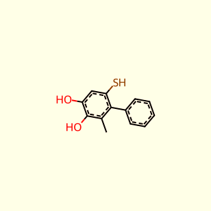 Cc1c(O)c(O)cc(S)c1-c1ccccc1